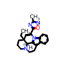 CCC12C=C(c3nc(C)no3)n3c4c(c5ccccc53)CCN(CCC1)[C@H]42